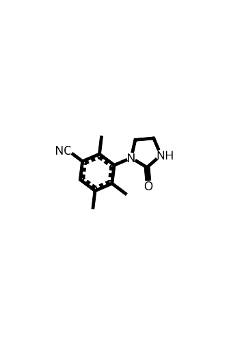 Cc1cc(C#N)c(C)c(N2CCNC2=O)c1C